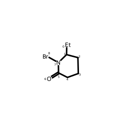 CCC1CCCC(=O)N1Br